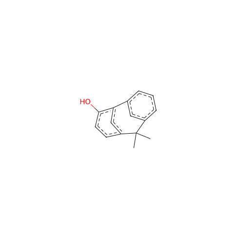 CC1(C)c2cccc(c2)-c2cc1ccc2O